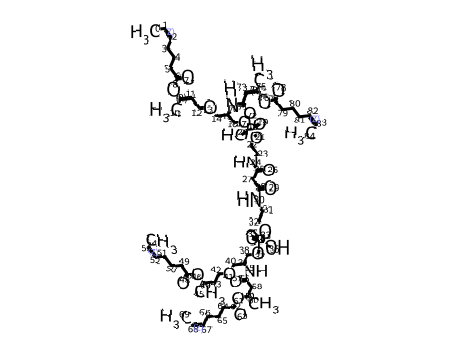 C/C=C\CCCC(=O)O[C@H](C)CCOCC(COP(=O)(O)OCCNC(=O)CC(=O)NCCOP(=O)(O)OCC(COCC[C@@H](C)OC(=O)CCC/C=C\C)NC(=O)C[C@@H](C)OC(=O)CCC/C=C\C)NC(=O)C[C@@H](C)OC(=O)CCC/C=C\C